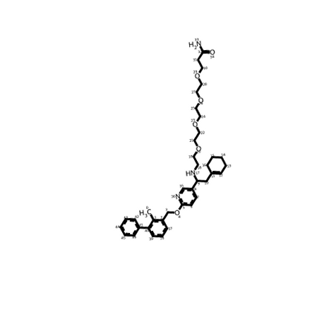 Cc1c(COc2ccc(C(CC3=CCCCC3)NCCOCCOCCOCCOCCC(N)=O)cn2)cccc1-c1ccccc1